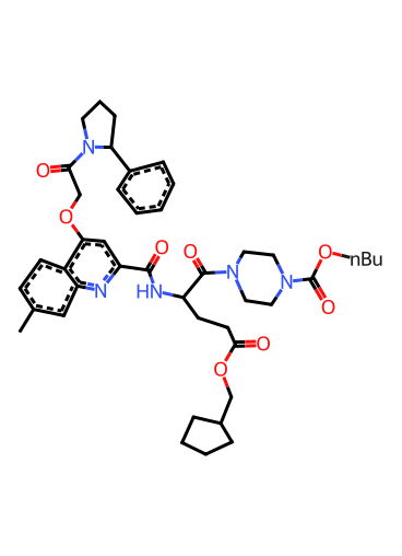 CCCCOC(=O)N1CCN(C(=O)C(CCC(=O)OCC2CCCC2)NC(=O)c2cc(OCC(=O)N3CCCC3c3ccccc3)c3ccc(C)cc3n2)CC1